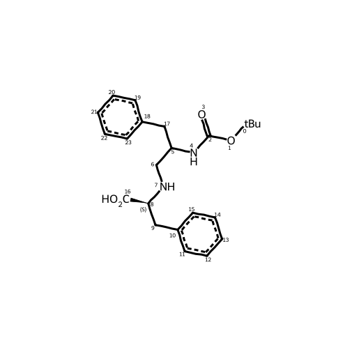 CC(C)(C)OC(=O)NC(CN[C@@H](Cc1ccccc1)C(=O)O)Cc1ccccc1